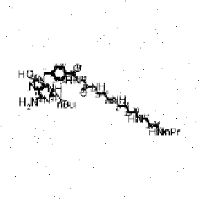 CCCCNc1nc(N)c2nc(O)n(Cc3ccc(C(=O)NCC(=O)NCCCNCCCCNCCCNCCC)cc3)c2n1